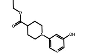 CCOC(=O)C1CCN(c2cncc(O)c2)CC1